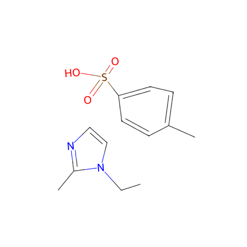 CCn1ccnc1C.Cc1ccc(S(=O)(=O)O)cc1